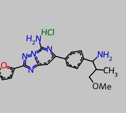 COCC(C)C(N)c1ccc(-c2cc3nc(-c4ccco4)nn3c(N)n2)cc1.Cl